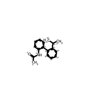 CC(=O)Nc1ccccc1-c1ccccc1C(C)C